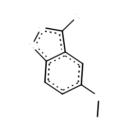 COc1ccc2noc(N)c2c1